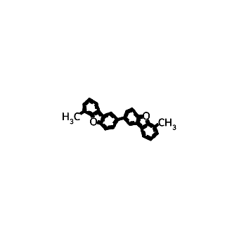 Cc1cccc2c1oc1ccc(-c3ccc4oc5c(C)cccc5c4c3)cc12